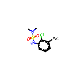 CC(=O)c1cccc(NS(=O)(=O)N(C)C)c1Cl